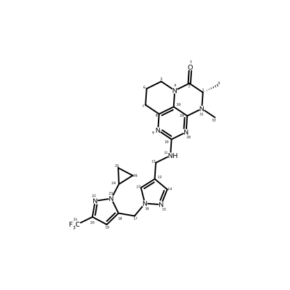 C[C@H]1C(=O)N2CCCc3nc(NCc4cnn(Cc5cc(C(F)(F)F)nn5C5CC5)c4)nc(c32)N1C